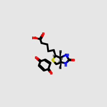 O=C(O)CCCC[C@@H]1SC[C@@H]2NC(=O)N[C@@H]21.O=C1C=CC(=O)C=C1